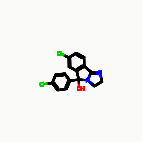 OC1(c2ccc(Cl)cc2)c2cc(Cl)ccc2C2=NCCN21